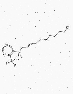 FC(F)(F)c1ccccc1[SiH2]CC=CCCCCCCCCl